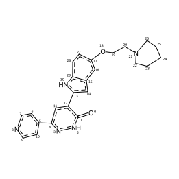 O=c1[nH]nc(-c2ccncc2)cc1-c1cc2cc(OCCN3CCCCC3)ccc2[nH]1